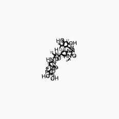 CCNC(=O)c1nnc(-c2cc(C(C)C)c(O)cc2O)n1-c1ccc(C(=O)NC(C)C(=O)Nc2ccn([C@@H]3O[C@H](CO)[C@@H](O)C3(F)F)c(=O)n2)cc1